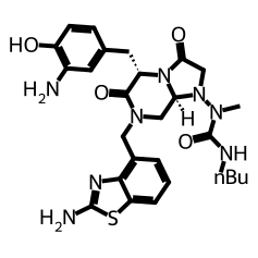 CCCCNC(=O)N(C)N1CC(=O)N2[C@@H](Cc3ccc(O)c(N)c3)C(=O)N(Cc3cccc4sc(N)nc34)C[C@@H]21